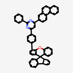 C1=CC2c3ccccc3C3(c4ccccc4Oc4c(-c5ccc(-c6cc(-c7ccc8c(ccc9ccccc98)c7)nc(-c7ccccc7)n6)cc5)cccc43)C2C=C1